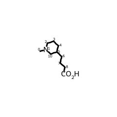 CN1CCCC(CCCC(=O)O)C1